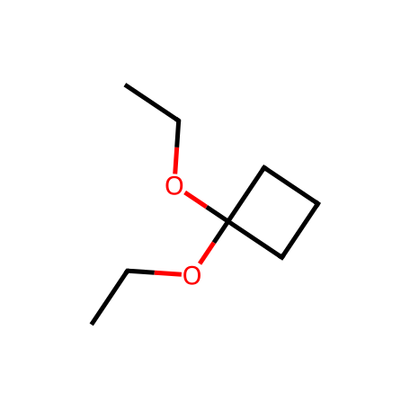 CCOC1(OCC)CCC1